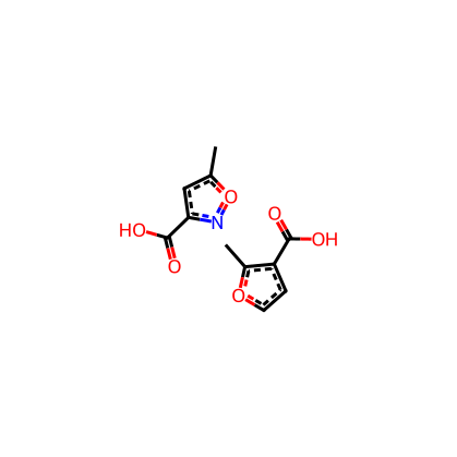 Cc1cc(C(=O)O)no1.Cc1occc1C(=O)O